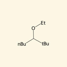 CCCCC(OCC)C(C)(C)C